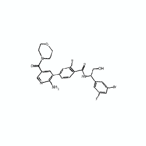 Nc1ncc(C(=O)N2CCOCC2)cc1-c1ccc(C(=O)NC(CO)c2cc(F)cc(Br)c2)c(F)c1